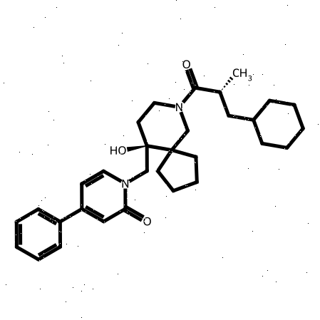 C[C@H](CC1CCCCC1)C(=O)N1CC[C@@](O)(Cn2ccc(-c3ccccc3)cc2=O)C2(CCCC2)C1